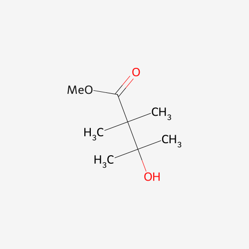 COC(=O)C(C)(C)C(C)(C)O